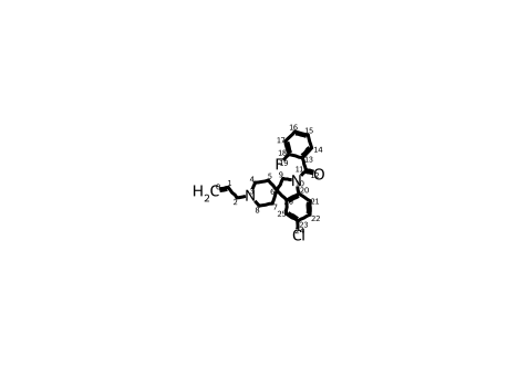 C=CCN1CCC2(CC1)CN(C(=O)c1ccccc1F)c1ccc(Cl)cc12